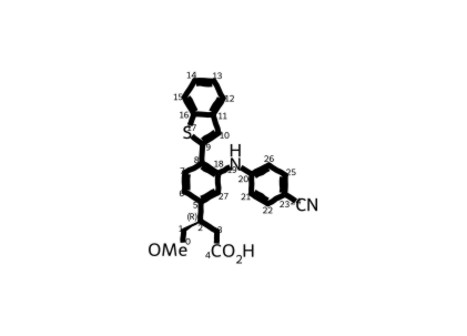 COC[C@H](CC(=O)O)c1ccc(-c2cc3ccccc3s2)c(Nc2ccc(C#N)cc2)c1